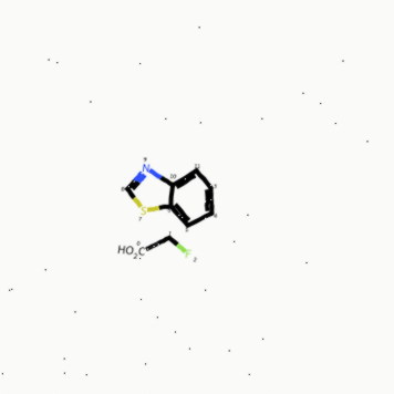 O=C(O)CF.c1ccc2scnc2c1